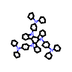 c1ccc(N(c2ccccc2)c2ccc(-n3c4ccccc4c4c3c3c5ccccc5n(-c5ccc(N(c6ccccc6)c6ccccc6)cc5)c3c3c5ccccc5n(-c5ccc(N(c6ccccc6)c6ccccc6)cc5)c43)cc2)cc1